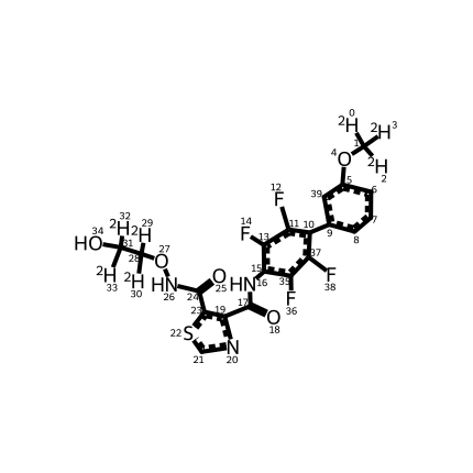 [2H]C([2H])([2H])Oc1cccc(-c2c(F)c(F)c(NC(=O)c3ncsc3C(=O)NOC([2H])([2H])C([2H])([2H])O)c(F)c2F)c1